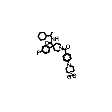 CC(NC(=O)C1(c2ccc(F)cc2)CCN(C(=O)c2ccc(N3CCS(=O)(=O)CC3)cc2)CC1)C1CCCCC1